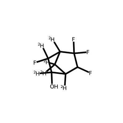 [2H]C1([2H])C2([2H])C(F)C(F)(F)C1([2H])C([2H])(F)C2([2H])O